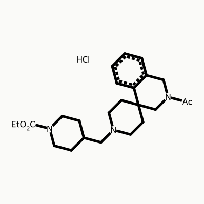 CCOC(=O)N1CCC(CN2CCC3(CC2)CN(C(C)=O)Cc2ccccc23)CC1.Cl